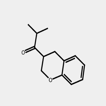 CC(C)C(=O)C1COc2ccccc2C1